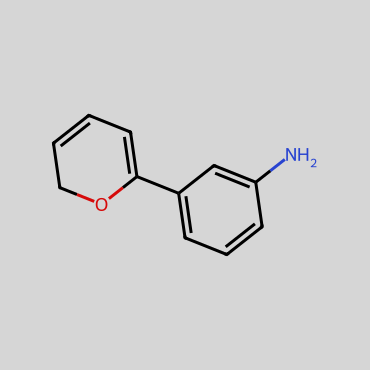 Nc1cccc(C2=CC=CCO2)c1